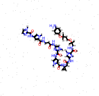 Cn1cc(NC(=O)c2nccn2C)cc1C(=O)NCCC(=O)Nc1cn(C)c(C(=O)Nc2cc(C(=O)NC3(CC(=O)Nc4cn(C)c(C(=O)NCC(C)(C)OCCC(C)(C)Oc5ccc(N)cc5)n4)CC3)n(C)c2)n1